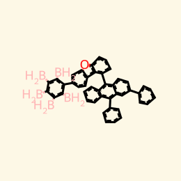 Bc1c(B)c(B)c(-c2ccc3c(c2)oc2cccc(-c4c5ccccc5c(-c5ccccc5)c5cc(-c6ccccc6)ccc45)c23)c(B)c1B